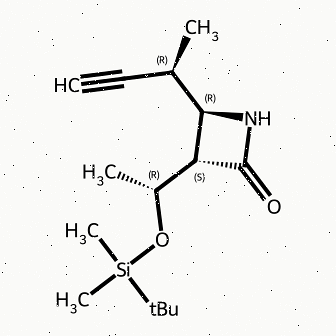 C#C[C@@H](C)[C@H]1NC(=O)[C@@H]1[C@@H](C)O[Si](C)(C)C(C)(C)C